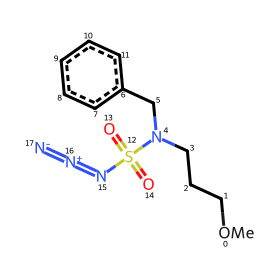 COCCCN(Cc1ccccc1)S(=O)(=O)N=[N+]=[N-]